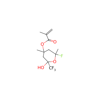 C=C(C)C(=O)OC1(C)CC(C)(F)OC(O)(C(F)(F)F)C1